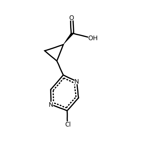 O=C(O)[C@@H]1CC1c1cnc(Cl)cn1